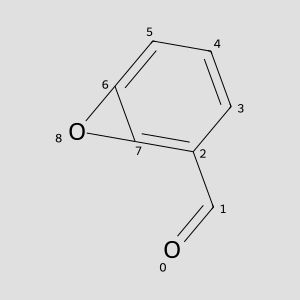 O=Cc1cccc2c1O2